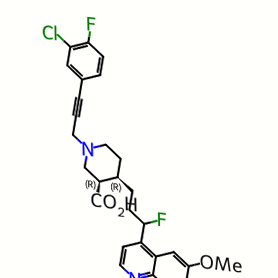 COc1ccc2nccc(C(F)CC[C@@H]3CCN(CC#Cc4ccc(F)c(Cl)c4)C[C@@H]3C(=O)O)c2c1